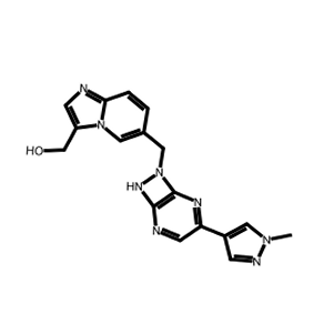 Cn1cc(-c2cnc3[nH]n(Cc4ccc5ncc(CO)n5c4)c3n2)cn1